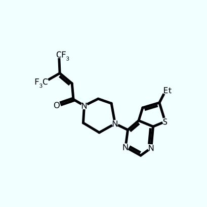 CCc1cc2c(N3CCN(C(=O)C=C(C(F)(F)F)C(F)(F)F)CC3)ncnc2s1